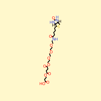 O=C(O)CCOC(=O)CCC(=O)OCCOCCOCCOCCNC(=O)CCCCC1SC[C@H]2NC(=O)N[C@@H]12